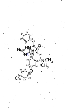 CN(C)CCNC(=O)[C@H](Cc1ccccc1)N/C(=N\C#N)Nc1ccc(Oc2ccc(Cl)cc2)cc1